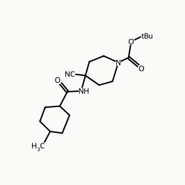 CC1CCC(C(=O)NC2(C#N)CCN(C(=O)OC(C)(C)C)CC2)CC1